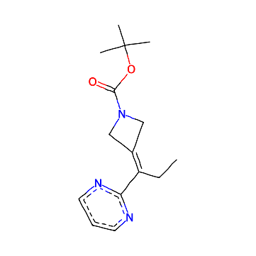 CCC(=C1CN(C(=O)OC(C)(C)C)C1)c1ncccn1